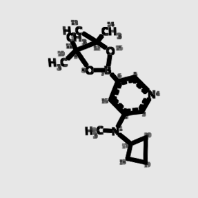 CN(c1cncc(B2OC(C)(C)C(C)(C)O2)c1)C1CCC1